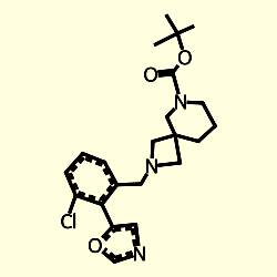 CC(C)(C)OC(=O)N1CCCC2(CN(Cc3cccc(Cl)c3-c3cnco3)C2)C1